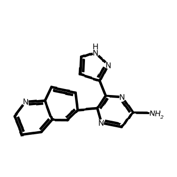 Nc1cnc(-c2ccc3ncccc3c2)c(-c2cc[nH]n2)n1